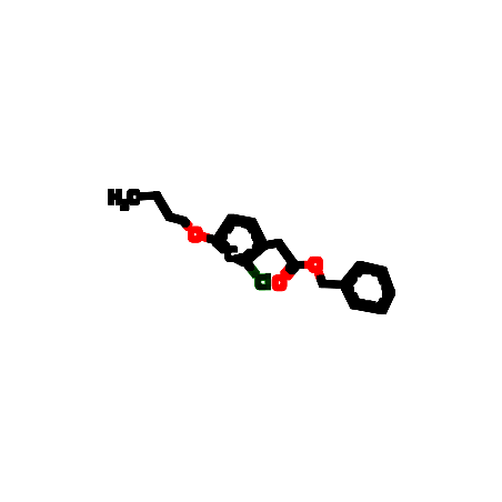 CCCCOc1ccc(CC(=O)OCc2ccccc2)c(Cl)c1